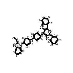 CCc1nc2ccccc2n1-c1ccc(-c2ccc(-c3c4oc5ccccc5c4nc4c3oc3ccccc34)cc2)cc1